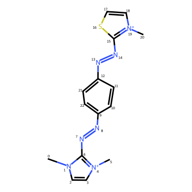 Cn1cc[n+](C)c1N=Nc1ccc(N=Nc2scc[n+]2C)cc1